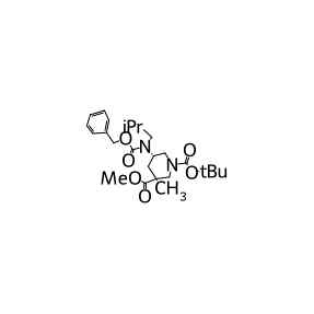 COC(=O)C1(C)C[C@H](N(CC(C)C)C(=O)OCc2ccccc2)CN(C(=O)OC(C)(C)C)C1